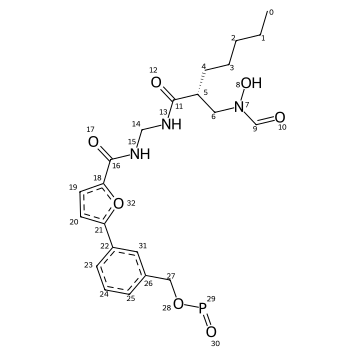 CCCCC[C@H](CN(O)C=O)C(=O)NCNC(=O)c1ccc(-c2cccc(COP=O)c2)o1